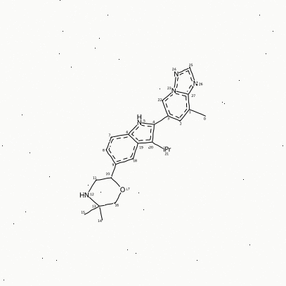 Cc1cc(-c2[nH]c3ccc(C4CNC(C)(C)CO4)cc3c2C(C)C)cn2ncnc12